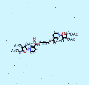 CC(=O)OC[C@H]1O[C@@H](N2C=CCC(C(=O)OCC#CCOC(O)C3=CN([C@@H]4O[C@H](COC(C)=O)[C@@H](OC(C)=O)[C@H]4OC(C)=O)C=CC3)=C2)[C@H](OC(C)=O)[C@@H]1OC(C)=O